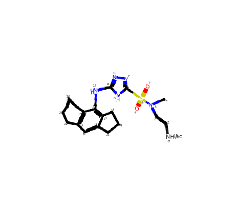 CC(=O)NCCN(C)S(=O)(=O)c1nnc(Nc2c3c(cc4c2CCC4)CCC3)[nH]1